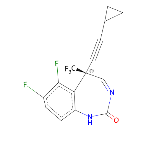 O=C1N=C[C@](C#CC2CC2)(C(F)(F)F)c2c(ccc(F)c2F)N1